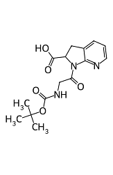 CC(C)(C)OC(=O)NCC(=O)N1c2ncccc2CC1C(=O)O